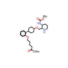 COC(=O)CCCCOc1ccccc1C1CCC(OCC2NCCCC2NC(=O)OC(C)(C)C)CC1